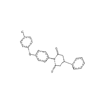 O=C1CC(c2ccccc2)CC(=O)N1c1ccc(Oc2ccc(Cl)cc2)cc1